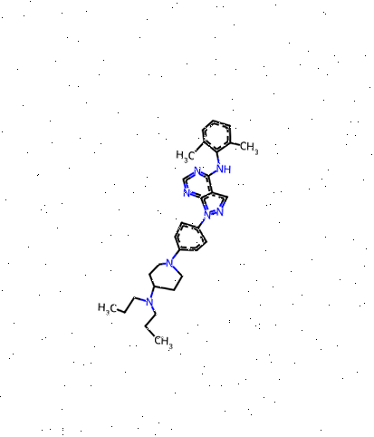 CCCN(CCC)C1CCN(c2ccc(-n3ncc4c(Nc5c(C)cccc5C)ncnc43)cc2)CC1